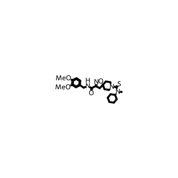 COc1ccc(CNC(=O)C2=NOC3(CCN(C(=S)N(C)C4CCCCC4)CC3)C2)cc1OC